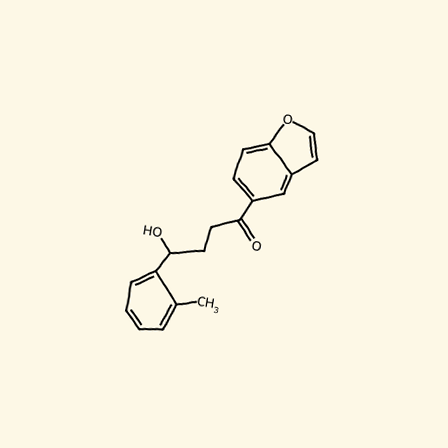 Cc1ccccc1C(O)CCC(=O)c1ccc2occc2c1